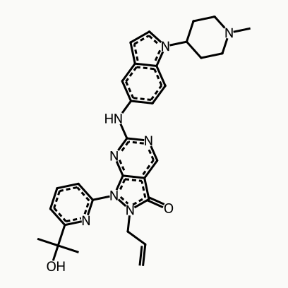 C=CCn1c(=O)c2cnc(Nc3ccc4c(ccn4C4CCN(C)CC4)c3)nc2n1-c1cccc(C(C)(C)O)n1